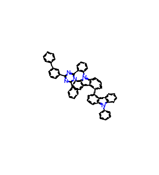 c1ccc(-c2cccc(-c3nc(-c4ccccc4)nc(-c4ccccc4-n4c5ccccc5c5c(-c6cccc7c6c6ccccc6n7-c6ccccc6)cccc54)n3)c2)cc1